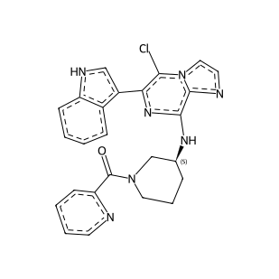 O=C(c1ccccn1)N1CCC[C@H](Nc2nc(-c3c[nH]c4ccccc34)c(Cl)n3ccnc23)C1